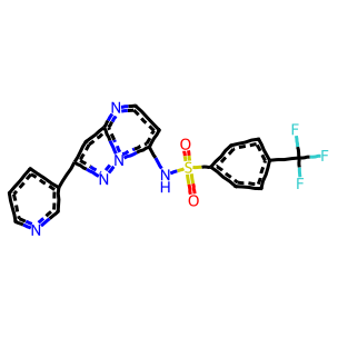 O=S(=O)(Nc1ccnc2cc(-c3cccnc3)nn12)c1ccc(C(F)(F)F)cc1